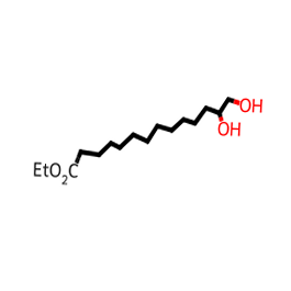 CCOC(=O)CCCCCCCCCCCC(O)CO